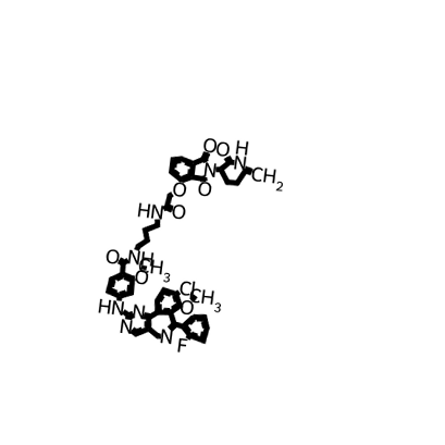 C=C1CCC(N2C(=O)c3cccc(OCC(=O)NCCCCNC(=O)c4ccc(Nc5ncc6c(n5)-c5ccc(Cl)cc5C(c5c(F)cccc5OC)=NC6)cc4OC)c3C2=O)C(=O)N1